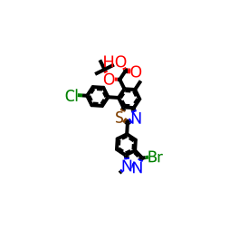 Cc1cc2nc(-c3ccc4c(c3)c(Br)nn4C)sc2c(-c2ccc(Cl)cc2)c1C(OC(C)(C)C)C(=O)O